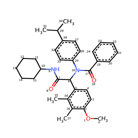 COc1ccc(C(C(=O)NC2CCCCC2)N(C(=O)c2ccccc2)c2ccc(C(C)C)cc2)c(C)c1C